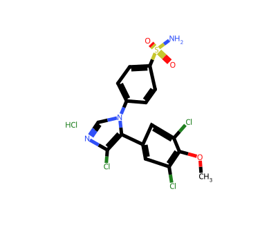 COc1c(Cl)cc(-c2c(Cl)ncn2-c2ccc(S(N)(=O)=O)cc2)cc1Cl.Cl